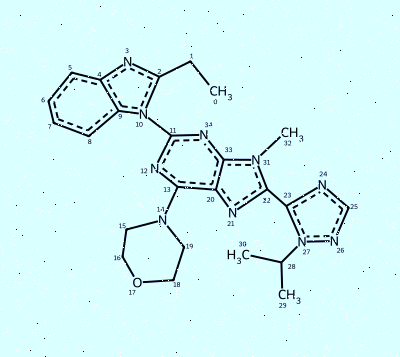 CCc1nc2ccccc2n1-c1nc(N2CCOCC2)c2nc(-c3ncnn3C(C)C)n(C)c2n1